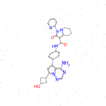 Nc1ncnn2c(C3CC(O)C3)cc(-c3ccc(NC(=O)c4c5n(n(-c6ccccn6)c4=O)CCCC5)cc3)c12